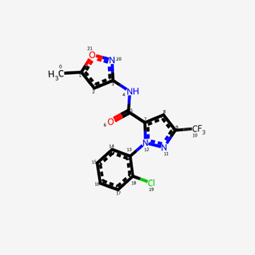 Cc1cc(NC(=O)c2cc(C(F)(F)F)nn2-c2ccccc2Cl)no1